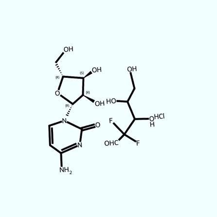 Cl.Nc1ccn([C@@H]2O[C@H](CO)[C@@H](O)[C@H]2O)c(=O)n1.O=CC(F)(F)C(O)C(O)CO